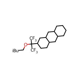 CCC(C)COC(C1CCC2CC3CCCCC3CC2C1)(C(F)(F)F)C(F)(F)F